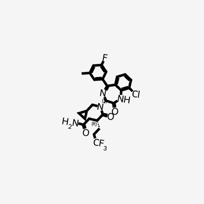 Cc1cc(F)cc(C2=N[C@@H](N(CC3CC3)C(=O)[C@H](CCC(F)(F)F)CC(N)=O)C(=O)Nc3c(Cl)cccc32)c1